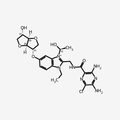 CCn1c(CNC(=O)c2nc(Cl)c(N)nc2N)[n+]([C@H](C)O)c2cc(O[C@H]3CO[C@H]4[C@@H]3OC[C@@H]4O)ccc21